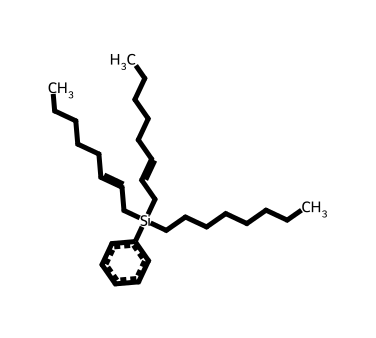 CCCCCC=CC[Si](CC=CCCCCC)(CCCCCCCC)c1ccccc1